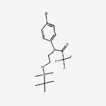 CC(C)(C)[Si](C)(C)OCCN(C(=O)C(F)(F)F)c1ccc(Br)cc1